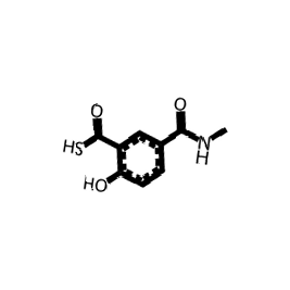 CNC(=O)c1ccc(O)c(C(=O)S)c1